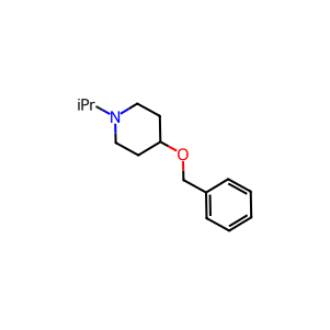 CC(C)N1CCC(OCc2ccccc2)CC1